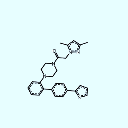 Cc1cc(C)n(CC(=O)N2CCN(c3ccccc3-c3ccc(-c4cccs4)cc3)CC2)n1